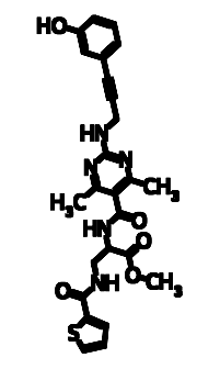 COC(=O)C(CNC(=O)c1cccs1)NC(=O)c1c(C)nc(NCC#Cc2cccc(O)c2)nc1C